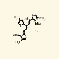 CCCCN1C(C)=CS\C1=C/C=C(/C=C/c1scc(C)[n+]1CCCC)c1scc(C)[n+]1CCCC.[I-].[I-]